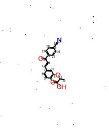 CC(Oc1cccc(C=CC(=O)c2ccc(C#N)cc2)c1)C(=O)O